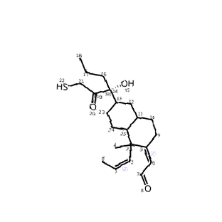 C/C=C\C1(C)/C(=C\C=O)CCC2CC([C@](O)(CCC)C(=O)CS)CCC21